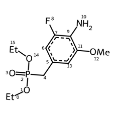 CCOP(=O)(Cc1cc(F)c(N)c(OC)c1)OCC